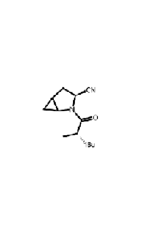 CCC(C)[C@H](C)C(=O)N1C2CC2C[C@H]1C#N